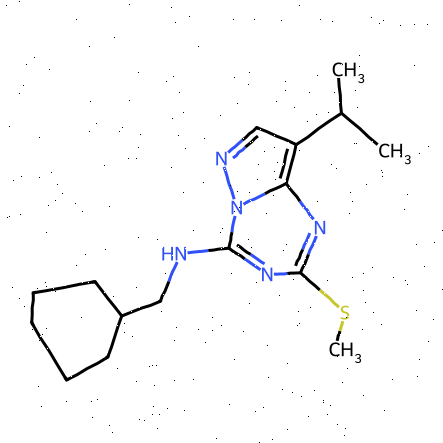 CSc1nc(NCC2CCCCC2)n2ncc(C(C)C)c2n1